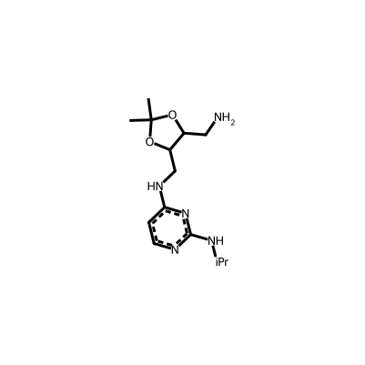 CC(C)Nc1nccc(NCC2OC(C)(C)OC2CN)n1